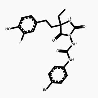 CCC1(CCc2ccc(O)c(F)c2)NC(=O)N(NC(=O)Nc2ccc(Br)cc2)C1=O